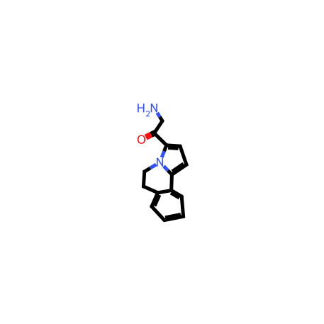 NCC(=O)c1ccc2n1CCc1ccccc1-2